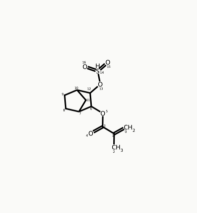 C=C(C)C(=O)OC1C2CCC(C2)C1O[SH](=O)=O